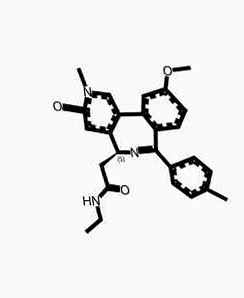 CCNC(=O)C[C@@H]1N=C(c2ccc(C)cc2)c2ccc(OC)cc2-c2cn(C)c(=O)cc21